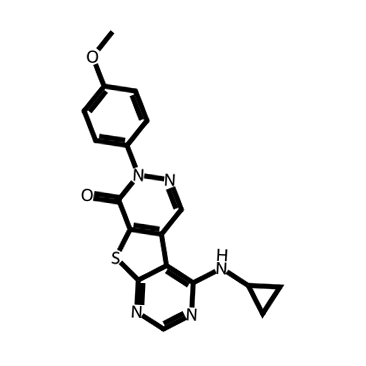 COc1ccc(-n2ncc3c(sc4ncnc(NC5CC5)c43)c2=O)cc1